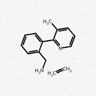 C=C.Cc1cccnc1-c1ccccc1CN